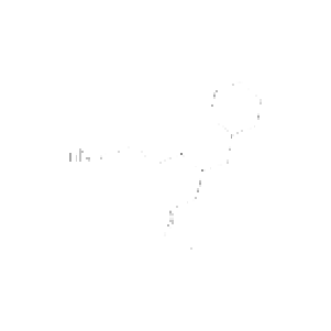 C=CCC(CCCCCCCCCCCC)CC1CCCCC1